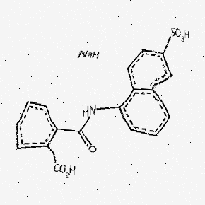 O=C(O)c1ccccc1C(=O)Nc1cccc2cc(S(=O)(=O)O)ccc12.[NaH]